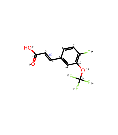 O=C(O)/C=C/c1ccc(F)c(OC(F)(F)F)c1